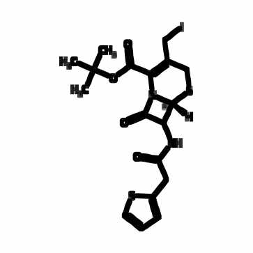 CC(C)(C)OC(=O)C1=C(CI)CS[C@@H]2C(NC(=O)Cc3cccs3)C(=O)N12